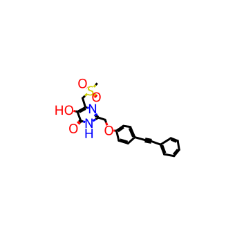 CS(=O)(=O)Cc1nc(COc2ccc(C#Cc3ccccc3)cc2)[nH]c(=O)c1O